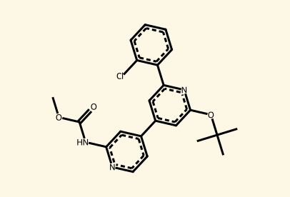 COC(=O)Nc1cc(-c2cc(OC(C)(C)C)nc(-c3ccccc3Cl)c2)ccn1